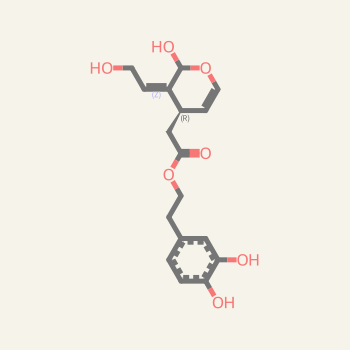 O=C(C[C@@H]1C=COC(O)/C1=C\CO)OCCc1ccc(O)c(O)c1